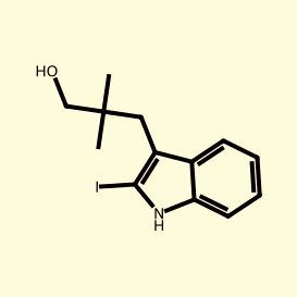 CC(C)(CO)Cc1c(I)[nH]c2ccccc12